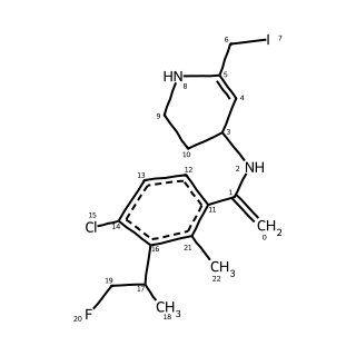 C=C(NC1C=C(CI)NCC1)c1ccc(Cl)c(C(C)CF)c1C